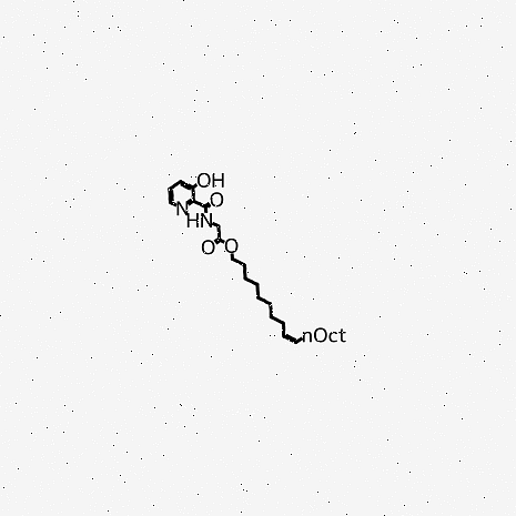 CCCCCCCC/C=C\CCCCCCCCOC(=O)CNC(=O)c1ncccc1O